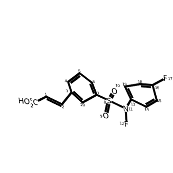 O=C(O)C=Cc1cccc(S(=O)(=O)N(F)c2ccc(F)cc2)c1